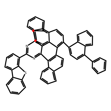 c1ccc(-c2nc(-c3c(-c4c(-c5ccc(-c6ccccc6)c6ccccc56)ccc5ccccc45)ccc4ccccc34)nc(-c3cccc4c3sc3ccccc34)n2)cc1